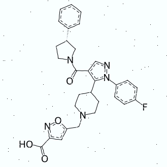 O=C(O)c1cc(CN2CCC(c3c(C(=O)N4CC[C@H](c5ccccc5)C4)cnn3-c3ccc(F)cc3)CC2)on1